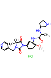 CC(NC1CCNC1)C(=O)Nc1cc(N2C(=O)N(Cc3ccncc3)C(C)(C)C2=O)ccc1OC(F)(F)F.Cl